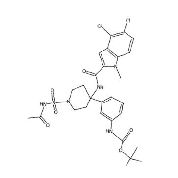 CC(=O)NS(=O)(=O)N1CCC(NC(=O)c2cc3c(Cl)c(Cl)ccc3n2C)(c2cccc(NC(=O)OC(C)(C)C)c2)CC1